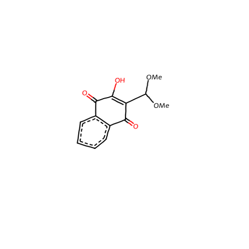 COC(OC)C1=C(O)C(=O)c2ccccc2C1=O